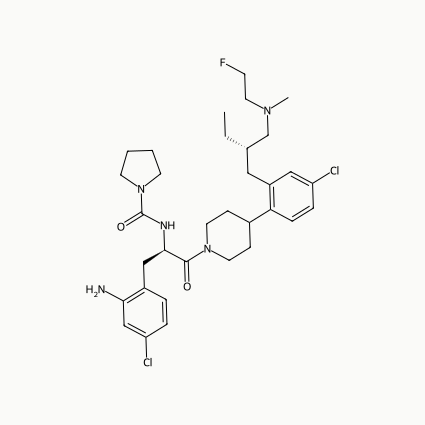 CC[C@@H](Cc1cc(Cl)ccc1C1CCN(C(=O)[C@@H](Cc2ccc(Cl)cc2N)NC(=O)N2CCCC2)CC1)CN(C)CCF